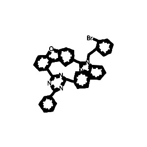 Brc1ccccc1Cn1c(-c2ccc3oc4cccc(-c5nc(-c6ccccc6)nc(-c6ccccc6)n5)c4c3c2)nc2ccccc21